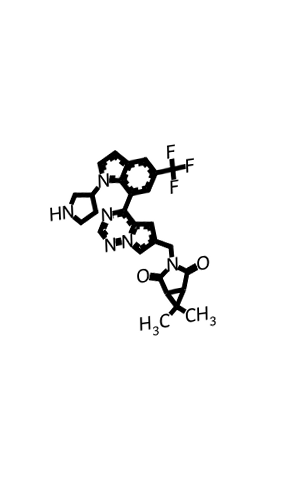 CC1(C)C2C(=O)N(Cc3cc4c(-c5cc(C(F)(F)F)cc6ccn(C7CCNC7)c56)ncnn4c3)C(=O)C21